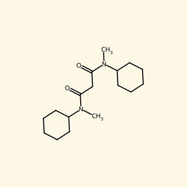 CN(C(=O)CC(=O)N(C)C1CCCCC1)C1CCCCC1